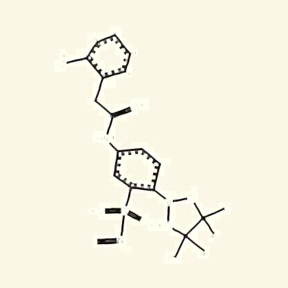 C=NS(=O)(=O)c1cc(NC(=O)Cc2ccccc2Cl)ccc1B1OC(C)(C)C(C)(C)O1